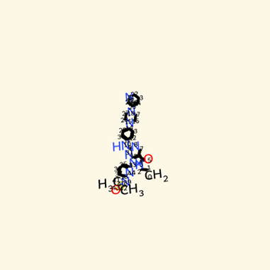 C=CCn1c(=O)c2cnc(Nc3ccc(N4CCN(C5CN6CCC5CC6)CC4)cc3)nc2n1-c1cccc(N=S(C)(C)=O)n1